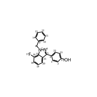 Oc1ccc(-c2nn(Cc3ccccc3)c3c(F)cccc23)cc1